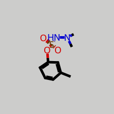 Cc1cccc(OS(=O)(=O)NN(C)C)c1